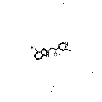 Cc1cc(C(O)Cn2cc3c(Br)cccc3n2)ccn1